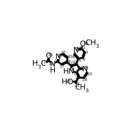 COc1ccc(-c2c(-c3ccnc(NC(C)=O)c3)[nH]c3c(C(C)O)ccnc23)cn1